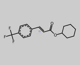 O=C(/C=C/c1ccc(C(F)(F)F)cc1)OC1CCCCC1